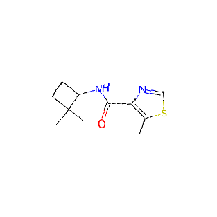 Cc1scnc1C(=O)NC1CCC1(C)C